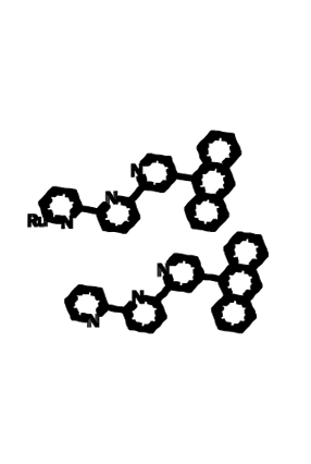 [Ru].c1ccc(-c2cccc(-c3cc(-c4c5ccccc5cc5ccccc45)ccn3)n2)nc1.c1ccc(-c2cccc(-c3cc(-c4c5ccccc5cc5ccccc45)ccn3)n2)nc1